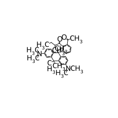 CCC(C)C(=O)c1c(C(C)=O)cccc1C1(C)c2ccc(N(C)C)cc2C(C)(C)c2cc(N(C)C)ccc21